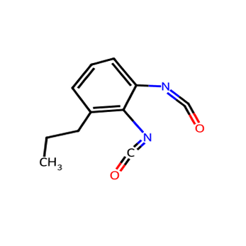 CCCc1cccc(N=C=O)c1N=C=O